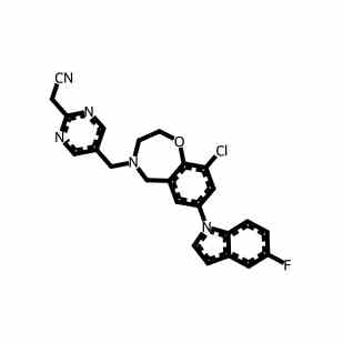 N#CCc1ncc(CN2CCOc3c(Cl)cc(-n4ccc5cc(F)ccc54)cc3C2)cn1